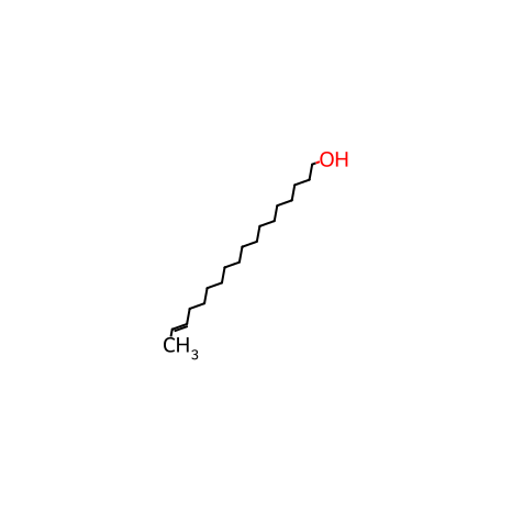 CC=CCCCCCCCCCCCCCCCO